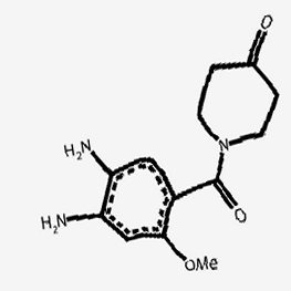 COc1cc(N)c(N)cc1C(=O)N1CCC(=O)CC1